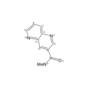 CNC(=O)c1cnc2cccnc2c1